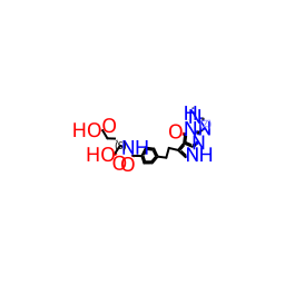 CN(C)/C=N\c1nc2[nH]cc(CCc3ccc(C(=O)N[C@@H](CCC(=O)O)C(=O)O)cc3)c2c(=O)[nH]1